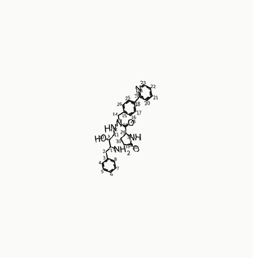 N[C@@H](Cc1ccccc1)[C@@H](O)CNN(Cc1ccc(-c2ccccn2)cc1)C(=O)[C@@H]1CCC(=O)N1